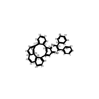 c1ccc(-c2nc3cc4cc(c5ccccc5c5ccc6ccc7cccc4c7c6c5)c3nc2-c2ccccc2)cc1